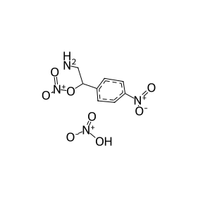 NCC(O[N+](=O)[O-])c1ccc([N+](=O)[O-])cc1.O=[N+]([O-])O